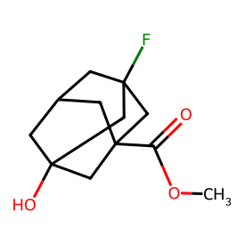 COC(=O)C12CC3CC(O)(CC(F)(C3)C1)C2